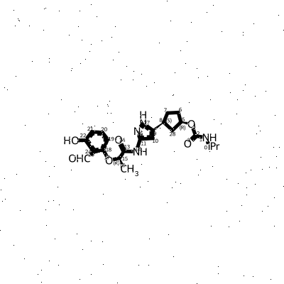 CC(C)NC(=O)O[C@@H]1CC[C@H](c2cc(NC(=O)[C@@H](C)Oc3cccc(O)c3C=O)n[nH]2)C1